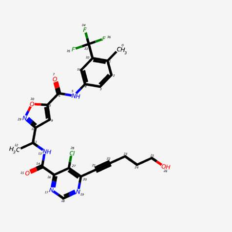 Cc1ccc(NC(=O)c2cc(C(C)NC(=O)c3ncnc(C#CCCCO)c3Cl)no2)cc1C(F)(F)F